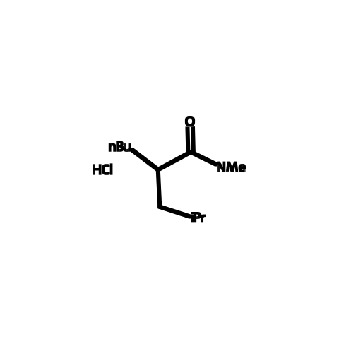 CCCCC(CC(C)C)C(=O)NC.Cl